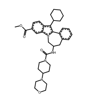 COC(=O)c1ccc2c(C3CCCCC3)c3n(c2c1)CC(NC(=O)N1CCC(N2CCOCC2)CC1)Cc1ccccc1-3